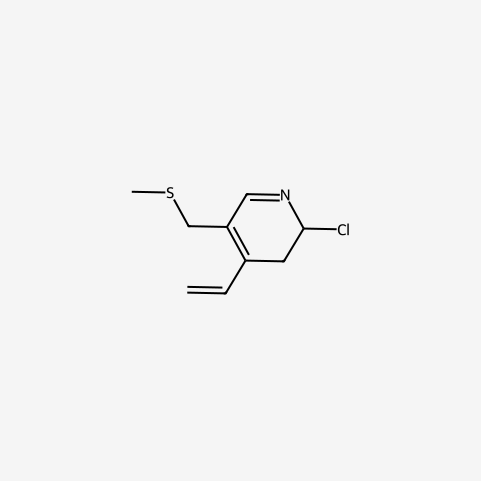 C=CC1=C(CSC)C=NC(Cl)C1